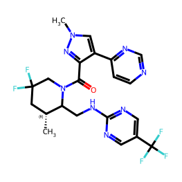 C[C@@H]1CC(F)(F)CN(C(=O)c2nn(C)cc2-c2ccncn2)C1CNc1ncc(C(F)(F)F)cn1